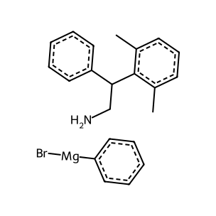 Cc1cccc(C)c1C(CN)c1ccccc1.[Br][Mg][c]1ccccc1